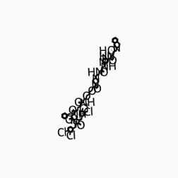 O=C(CCCC(=O)N[C@H](Cc1ccccc1)C(=O)N1C/C(=C\c2ccc(Cl)c(Cl)c2)C(=O)/C(=C/c2ccc(Cl)c(Cl)c2)C1)NCCOCCOCC(=O)N1CCN(CCNC(=O)CNc2cc(C(=O)NC[C@H](O)CN3CCc4ccccc4C3)ncn2)CC1